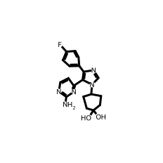 Nc1nccc(-c2c(-c3ccc(F)cc3)ncn2C2CCC(O)(O)CC2)n1